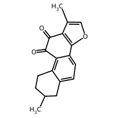 Cc1coc2c1C(=O)C(=O)c1c-2ccc2c1CCC(C)C2